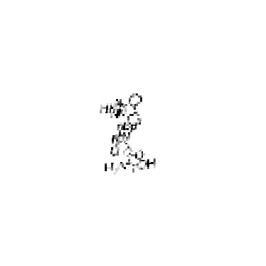 CCCCc1nc(Cl)c(COC(=O)[C@H](N)[C@H](C)O)n1Cc1ccc(-c2ccccc2-c2nn[nH]n2)cc1